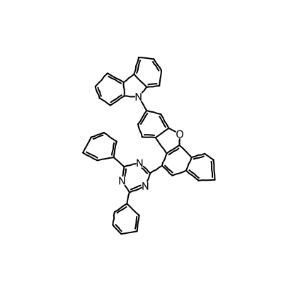 c1ccc(-c2nc(-c3ccccc3)nc(-c3cc4ccccc4c4oc5cc(-n6c7ccccc7c7ccccc76)ccc5c34)n2)cc1